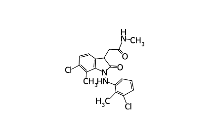 CNC(=O)CC1C(=O)N(Nc2cccc(Cl)c2C)c2c1ccc(Cl)c2C